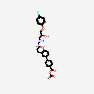 O=C(OC(=O)C(F)(F)F)c1ccc(-c2ccc3c(c2)CC[C@H](CNCC(O)COc2ccc(F)cc2)O3)cc1